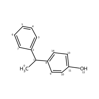 CC(c1ccccc1)c1ccc(O)cc1